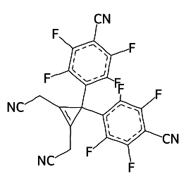 N#CCC1=C(CC#N)C1(c1c(F)c(F)c(C#N)c(F)c1F)c1c(F)c(F)c(C#N)c(F)c1F